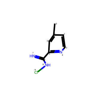 Cc1ccnc(C(=N)NCl)c1